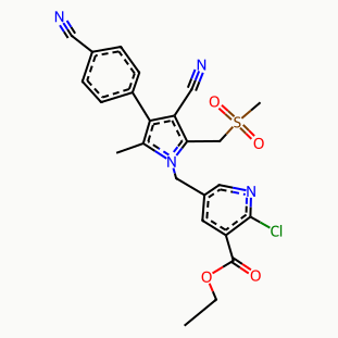 CCOC(=O)c1cc(Cn2c(C)c(-c3ccc(C#N)cc3)c(C#N)c2CS(C)(=O)=O)cnc1Cl